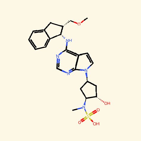 COC[C@H]1Cc2ccccc2[C@H]1Nc1ncnc2c1ccn2[C@H]1C[C@H](O)[C@@H](N(C)S(=O)(=O)O)C1